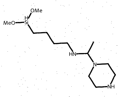 CO[SiH](CCCCNC(C)N1CCNCC1)OC